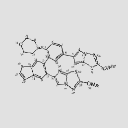 COc1nn2cc(-c3ccc(N4CCOCC4)c(-c4cc5sccc5cc4-c4cn5nc(OC)sc5n4)c3)nc2s1